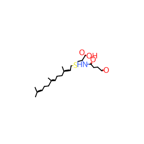 CC(C)=CCC/C(C)=C/CC/C(C)=C/CSCC(NC(=O)CCC=O)C(=O)O